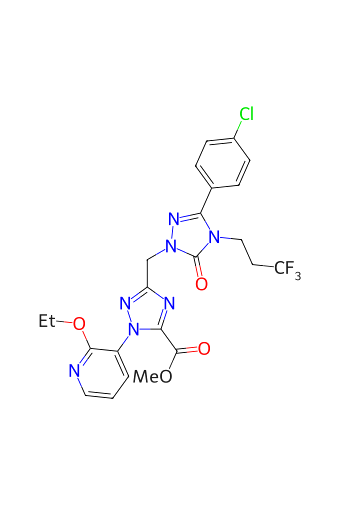 CCOc1ncccc1-n1nc(Cn2nc(-c3ccc(Cl)cc3)n(CCC(F)(F)F)c2=O)nc1C(=O)OC